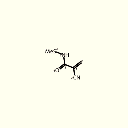 C=C(C#N)C(=O)NSC